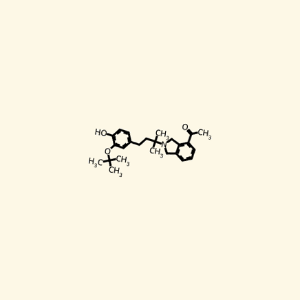 CC(=O)c1cccc2c1CN(C(C)(C)CCc1ccc(O)c(OC(C)(C)C)c1)C2